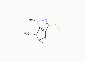 COC1c2c(c(C(F)F)nn2C(C)C)C2CC21